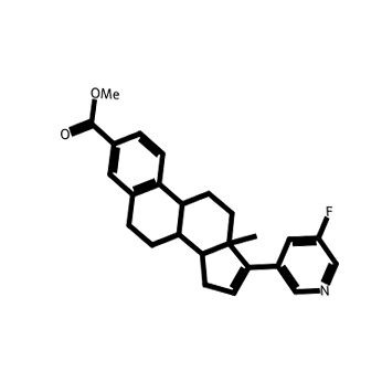 COC(=O)c1ccc2c(c1)CCC1C2CCC2(C)C(c3cncc(F)c3)=CCC12